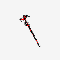 COCCOCCOCCOCCOCCOCCOCCOCCOCCOCCOCCOCCC(=O)NC[C@H](NC(C)C)C(=O)NCCC(O)NCc1cc(COC(=O)C(C)C)ccc1O[C@@H]1O[C@H](C(=O)O)[C@@H](O)[C@H](O)[C@H]1O